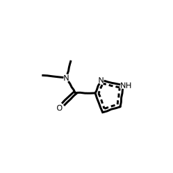 CN(C)C(=O)c1cc[nH]n1